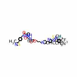 Cc1ncsc1-c1ccc(CNC(=O)[C@@H]2CCCN2C(=O)C(NC(=O)COCCCCN2CC=C(c3ccc(N(C(=S)N(C)c4ccc(C#N)c(C(F)(F)F)c4F)C(C)(C)C=O)cn3)CC2)C(C)(C)C)cc1